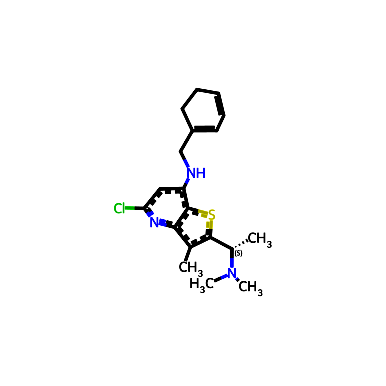 Cc1c([C@H](C)N(C)C)sc2c(NCC3=CC=CCC3)cc(Cl)nc12